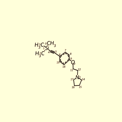 C[Si](C)(C)C#Cc1ccc(OCCN2CCCC2)cc1